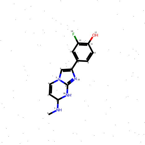 CNC1C=Cn2cc(-c3ccc(O)c(F)c3)nc2N1